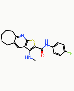 CNc1c(C(=O)Nc2ccc(F)cc2)sc2nc3c(cc12)CCCCC3